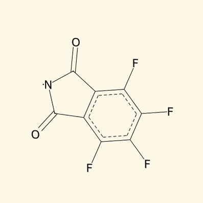 O=C1[N]C(=O)c2c(F)c(F)c(F)c(F)c21